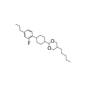 CCCCCC1COC(C2CCC(c3ccc(CCC)cc3F)CC2)OC1